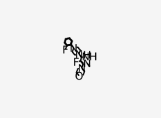 CN/C(=C(/F)C(=N)N1CCN(c2ccccc2F)CC1)N1CCOCC1